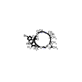 CC(=O)O[C@@H]1CC/C=C/O[C@@]2(C)Oc3c(C)c(O)c4c(=O)c(c5oc6cc(Br)cc(O)c6nc-5c4c3C2=O)NC(=O)/C(C)=C\C=C\[C@H](C)[C@H](O)[C@@H](C)C[C@H]1C